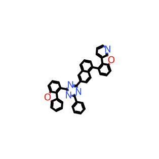 c1ccc(-c2nc(-c3ccc4c(-c5cccc6oc7ncccc7c56)cccc4c3)nc(-c3cccc4oc5ccccc5c34)n2)cc1